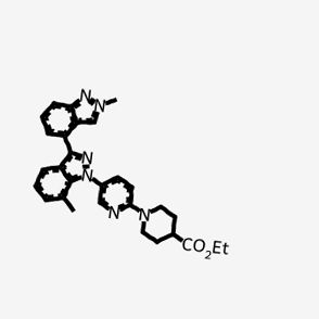 CCOC(=O)C1CCN(c2ccc(-n3nc(-c4cccc5nn(C)cc45)c4cccc(C)c43)cn2)CC1